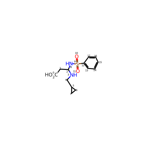 O=C(O)CC(NCC1CC1)NS(=O)(=O)c1ccccc1